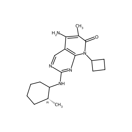 Cc1c(N)c2cnc(NC3CCCC[C@H]3C)nc2n(C2CCC2)c1=O